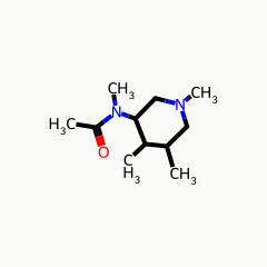 CC(=O)N(C)C1CN(C)CC(C)C1C